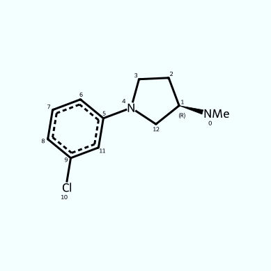 CN[C@@H]1CCN(c2cccc(Cl)c2)C1